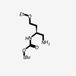 CCOCC[C@@H](CN)NC(=O)OC(C)(C)C